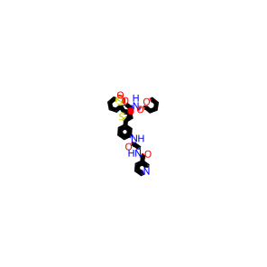 O=C(C[C@]1(c2ccc(-c3cccc(NC(=O)CNC(=O)c4cccnc4)c3)s2)CCCCS1(=O)=O)NOC1CCCCO1